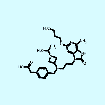 CCCCOc1nc(N)c2[nH]c(=O)n(CCCN(Cc3ccc(CC(=O)O)cc3)C3CN(C(C)C)C3)c2n1